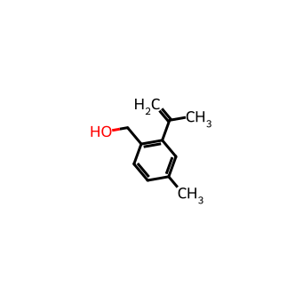 C=C(C)c1cc(C)ccc1CO